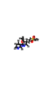 CCCS(=O)(=O)CC1CC(CC2CC2)(C(C)NC(=O)c2c(C)cc(C)nc2C)C1